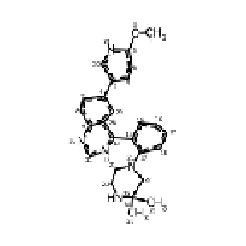 COc1ccc(-c2ccc3ncnc(-c4ccc[c]c4N4CCNC(C)(C)C4)c3c2)cn1